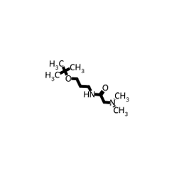 CN(C)CC(=O)NCCCOC(C)(C)C